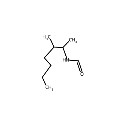 CCCCC(C)C(C)NC=O